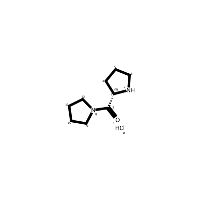 Cl.O=C([C@@H]1CCCN1)N1CCCC1